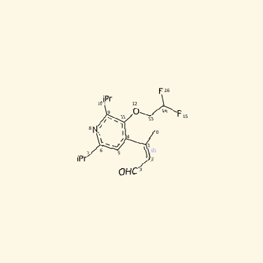 C/C(=C/C=O)c1cc(C(C)C)nc(C(C)C)c1OCC(F)F